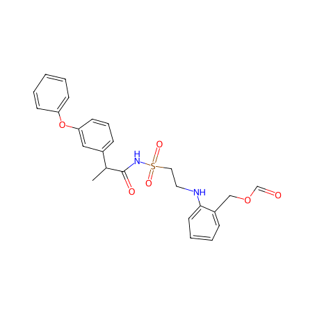 CC(C(=O)NS(=O)(=O)CCNc1ccccc1COC=O)c1cccc(Oc2ccccc2)c1